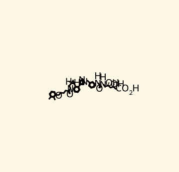 Cc1cccc(OCCCC(=O)N2C[C@@H]3C[C@@H]3c3c(-c4cnn(Cc5cccc(NC(=O)NC[C@@H](O)C[C@@H](O)CC(=O)O)c5)c4)cccc32)c1C